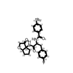 CC(C)(C)c1ccc(C(=O)NC(Cc2ccc(F)cc2)C(=O)NC23CCCC2OCC3=O)cc1